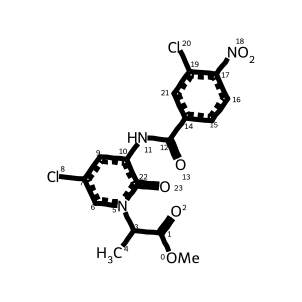 COC(=O)C(C)n1cc(Cl)cc(NC(=O)c2ccc([N+](=O)[O-])c(Cl)c2)c1=O